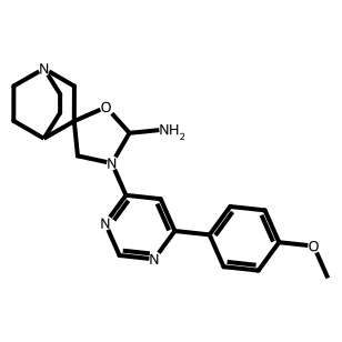 COc1ccc(-c2cc(N3CC4(CN5CCC4CC5)OC3N)ncn2)cc1